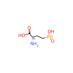 N[C@@H](CC[PH](=O)O)C(=O)O